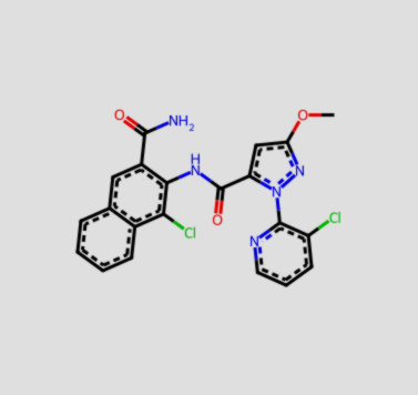 COc1cc(C(=O)Nc2c(C(N)=O)cc3ccccc3c2Cl)n(-c2ncccc2Cl)n1